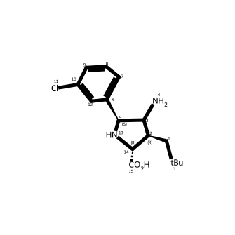 CC(C)(C)C[C@@H]1C(N)[C@H](c2cccc(Cl)c2)N[C@H]1C(=O)O